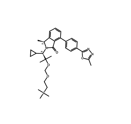 Cc1nnc(-c2ccc(-c3cccc4c3C(=O)N([C@H](C3CC3)C(C)(C)OCOCC[Si](C)(C)C)[C@H]4C)cc2)o1